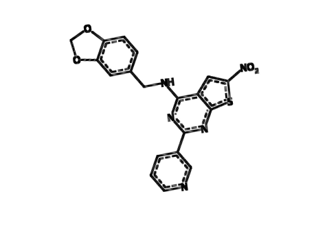 O=[N+]([O-])c1cc2c(NCc3ccc4c(c3)OCO4)nc(-c3cccnc3)nc2s1